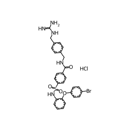 Cl.N=C(N)NCc1ccc(CNC(=O)c2ccc(S(=O)(=O)Nc3ccccc3Oc3ccc(Br)cc3)cc2)cc1